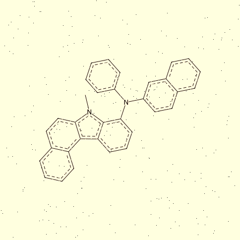 Cn1c2ccc3ccccc3c2c2cccc(N(c3ccccc3)c3ccc4ccccc4c3)c21